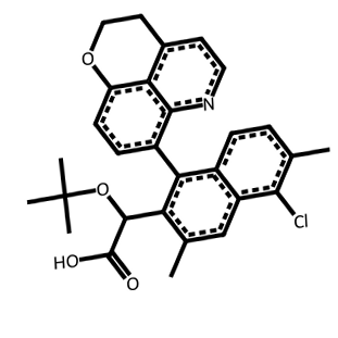 Cc1cc2c(Cl)c(C)ccc2c(-c2ccc3c4c(ccnc24)CCO3)c1C(OC(C)(C)C)C(=O)O